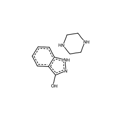 C1CNCCN1.Oc1n[nH]c2ccccc12